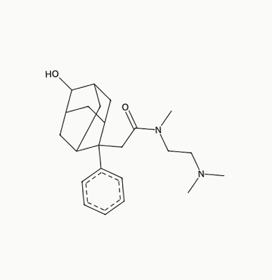 CN(C)CCN(C)C(=O)CC1(c2ccccc2)C2CC3CC1CC(C2)C3O